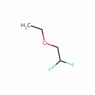 [CH2]COCC(F)F